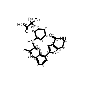 Cc1nc2cccc(-c3cc4c([nH]3)CCNC4=O)c2nc1NC1CCCCC1.O=C(O)C(F)(F)F